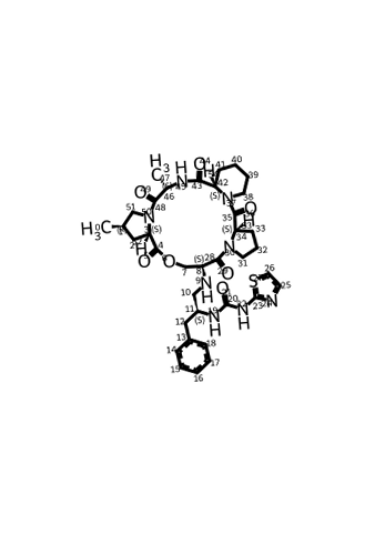 C[C@@H]1C[C@H]2C(=O)OC[C@H](NC[C@H](Cc3ccccc3)NC(=O)Nc3nccs3)C(=O)N3CCC[C@H]3C(=O)N3CCCC[C@H]3C(=O)N[C@@H](C)C(=O)N2C1